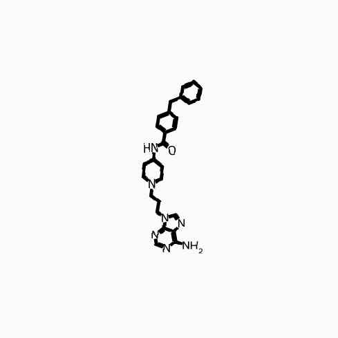 Nc1ncnc2c1ncn2CCCN1CCC(NC(=O)c2ccc(Cc3ccccc3)cc2)CC1